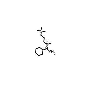 C[SH](CCCS(C)(C)C)N(P)C1CCCCC1